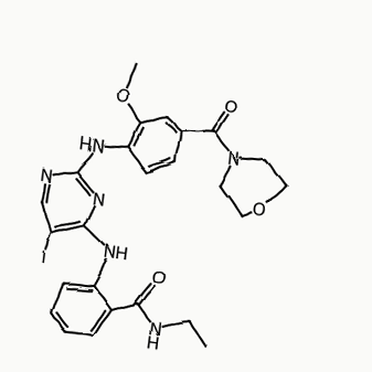 CCNC(=O)c1ccccc1Nc1nc(Nc2ccc(C(=O)N3CCOCC3)cc2OC)ncc1I